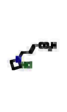 Cl.O=C(O)/C=C/CN1CCC1